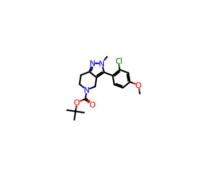 COc1ccc(-c2c3c(nn2C)CCN(C(=O)OC(C)(C)C)C3)c(Cl)c1